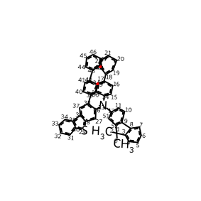 CC1(C)c2ccccc2-c2ccc(N(c3ccc(-c4ccccc4)cc3)c3cc4sc5ccccc5c4cc3-c3ccc(-c4ccccc4)cc3)cc21